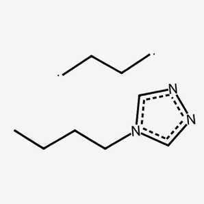 CCCCn1cnnc1.[CH2]CC[CH2]